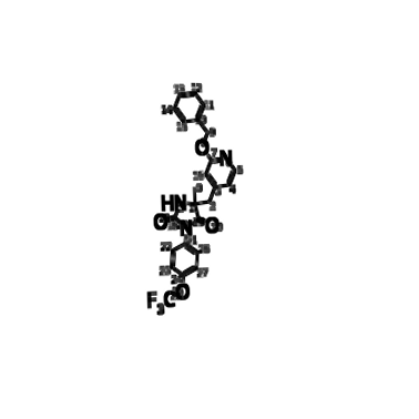 CC1(Cc2ccnc(OCc3ccccc3)c2)NC(=O)N(c2ccc(OC(F)(F)F)cc2)C1=O